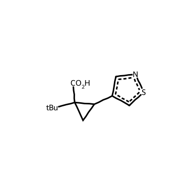 CC(C)(C)C1(C(=O)O)CC1c1cnsc1